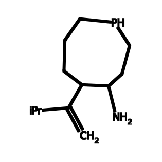 C=C(C(C)C)C1CCCPCCC1N